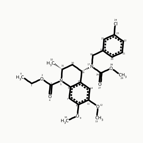 CCOC(=O)N1c2cc(OC)c(OC)cc2[C@@H](N(Cc2cccc(Cl)c2)C(=O)OC)C[C@H]1C